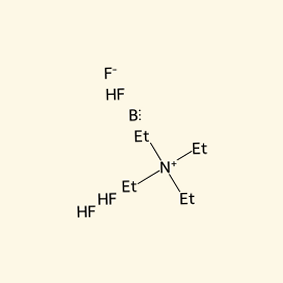 CC[N+](CC)(CC)CC.F.F.F.[B].[F-]